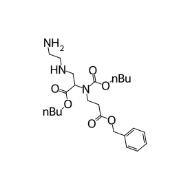 CCCCOC(=O)C(CNCCN)N(CCC(=O)OCc1ccccc1)C(=O)OCCCC